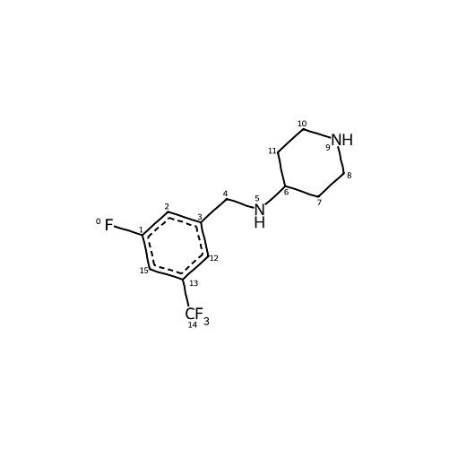 Fc1cc(CNC2CCNCC2)cc(C(F)(F)F)c1